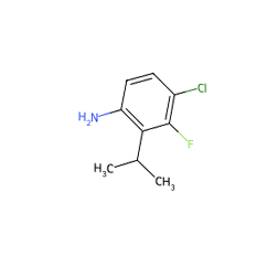 CC(C)c1c(N)ccc(Cl)c1F